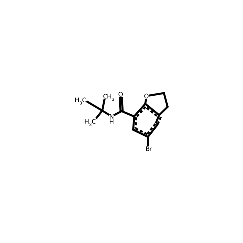 CC(C)(C)NC(=O)c1cc(Br)cc2c1OCC2